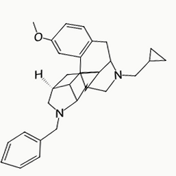 COc1ccc2c(c1)C13CCN(CC4CC4)C(C2)C12CCC1C3[C@@H](CN1Cc1ccccc1)C2